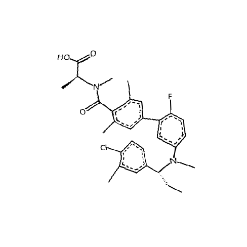 CC[C@H](c1ccc(Cl)c(C)c1)N(C)c1ccc(F)c(-c2cc(C)c(C(=O)N(C)[C@@H](C)C(=O)O)c(C)c2)c1